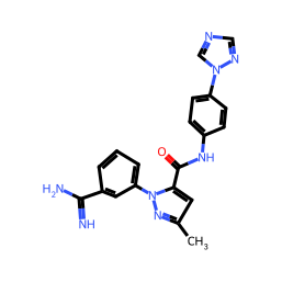 Cc1cc(C(=O)Nc2ccc(-n3cncn3)cc2)n(-c2cccc(C(=N)N)c2)n1